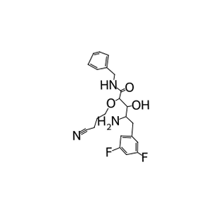 N#CCCCOC(C(=O)NCc1ccccc1)C(O)C(N)Cc1cc(F)cc(F)c1